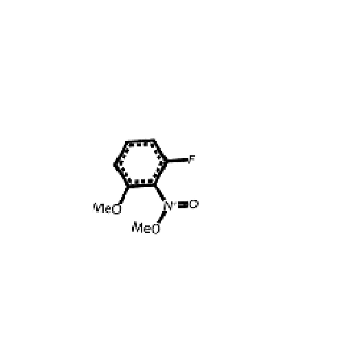 COc1cccc(F)c1[N+](=O)OC